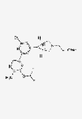 CCc1cc(C2[C@H]3CN(CCOC)C[C@@H]23)cc(-c2cnc(N)c(OC(F)F)c2)n1